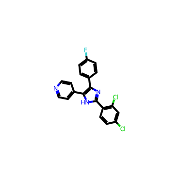 Fc1ccc(-c2nc(-c3ccc(Cl)cc3Cl)[nH]c2-c2ccncc2)cc1